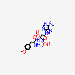 COc1ccc(C[C@H](N)C(=O)N[C@]2(O)C[C@H](n3cnc4c(N(C)C)ncnc43)O[C@@H]2CO)cc1